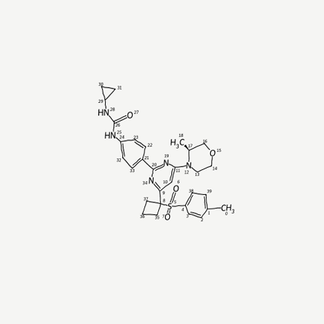 Cc1ccc(S(=O)(=O)C2(c3cc(N4CCOC[C@@H]4C)nc(-c4ccc(NC(=O)NC5CC5)cc4)n3)CCC2)cc1